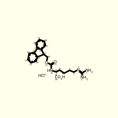 Cl.NC(N)=NCCCC[C@@H](NC(=O)OCC1c2ccccc2-c2ccccc21)C(=O)O